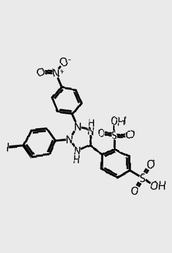 O=[N+]([O-])c1ccc(N2NC(c3ccc(S(=O)(=O)O)cc3S(=O)(=O)O)NN2c2ccc(I)cc2)cc1